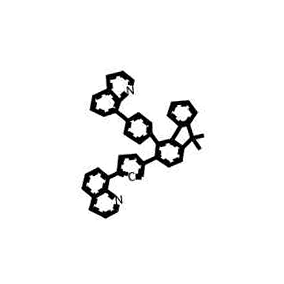 CC1(C)c2ccccc2-c2c1ccc(-c1ccc(-c3cccc4cccnc34)cc1)c2-c1ccc(-c2cccc3cccnc23)cc1